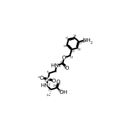 C[C@H](NS(=O)(=O)CCNC(=O)OCc1cccc(N)c1)C(=O)O